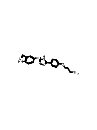 NCCCOc1ccc(-c2nnc(Nc3ccc4[nH]ncc4c3)[nH]2)cc1